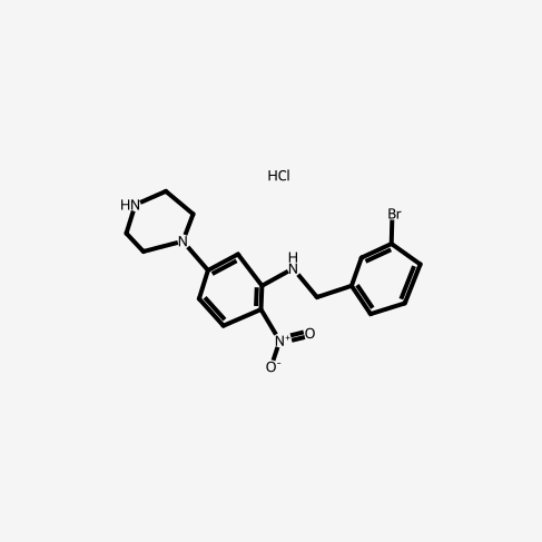 Cl.O=[N+]([O-])c1ccc(N2CCNCC2)cc1NCc1cccc(Br)c1